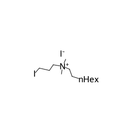 CCCCCCCC[N+](C)(C)CCCI.[I-]